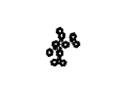 c1ccc(N2c3cc(-n4c5ccccc5c5ccccc54)ccc3B3c4ccc(-n5c6ccccc6c6ccccc65)cc4N(c4ccc5ccccc5c4)c4cccc2c43)cc1